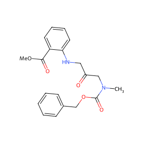 COC(=O)c1ccccc1NCC(=O)CN(C)C(=O)OCc1ccccc1